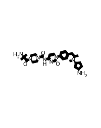 CC(Cc1ccc(-n2ccc(NC(=O)N3CCN(C(=O)C(C)(C)N)CC3)nc2=O)cc1)N(C)C1CC[C@@H](N)C1